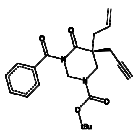 C#CC[C@@]1(CC=C)CN(C(=O)OC(C)(C)C)CN(C(=O)c2ccccc2)C1=O